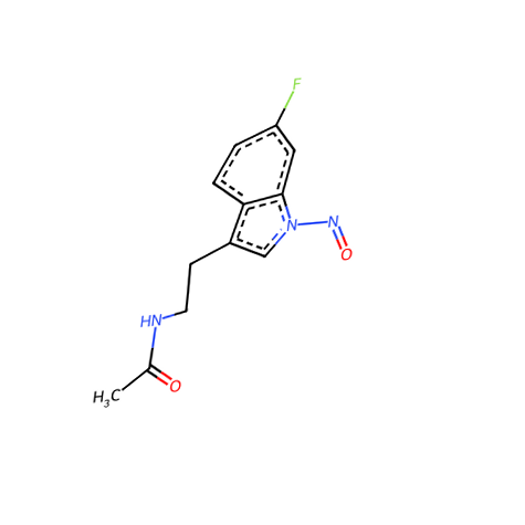 CC(=O)NCCc1cn(N=O)c2cc(F)ccc12